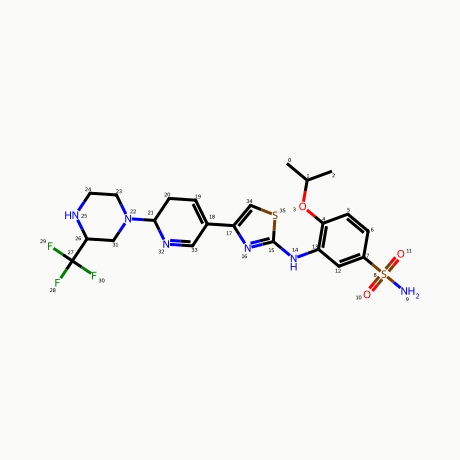 CC(C)Oc1ccc(S(N)(=O)=O)cc1Nc1nc(C2=CCC(N3CCNC(C(F)(F)F)C3)N=C2)cs1